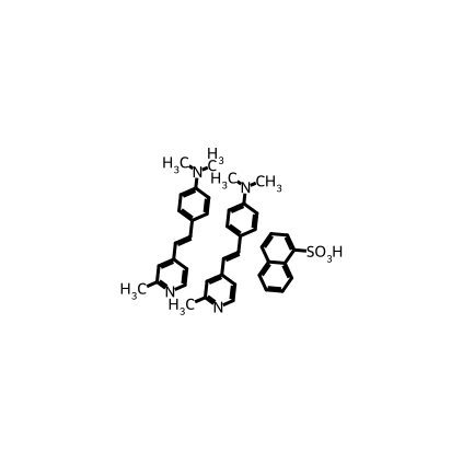 Cc1cc(C=Cc2ccc(N(C)C)cc2)ccn1.Cc1cc(C=Cc2ccc(N(C)C)cc2)ccn1.O=S(=O)(O)c1cccc2ccccc12